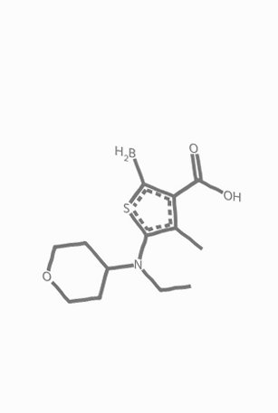 Bc1sc(N(CC)C2CCOCC2)c(C)c1C(=O)O